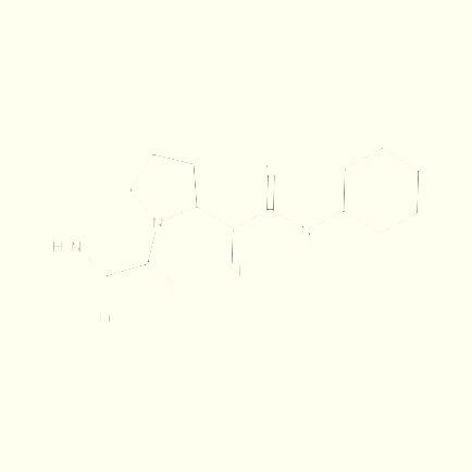 CC(C)[C@H](N)C(=O)N1CCCC1C(O)C(=O)NC1CCCCC1